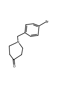 O=C1CCN(Cc2ccc(Br)cc2)CC1